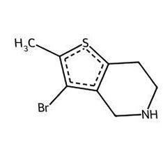 Cc1sc2c(c1Br)CNCC2